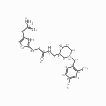 NC(=O)Cc1csc(SCC(=O)NCC2CN(Cc3ccc(F)cc3F)CCO2)n1